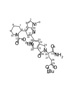 Cn1ccc2c(C3CCCCN3C(=O)OC(C)(C)C)cc(-c3ccc4c(c3)CN(C(CCC(=O)OC(C)(C)C)C(N)=O)C4=O)nc21